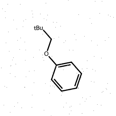 CC(C)(C)COc1cc[c]cc1